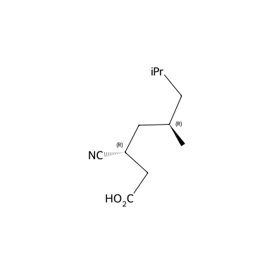 CC(C)C[C@@H](C)C[C@@H](C#N)CC(=O)O